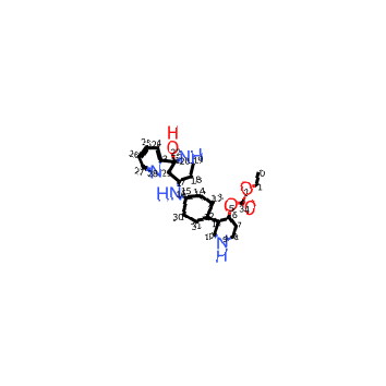 CCOC(=O)OC1CCNCC1C1CCC(NC2CCNC(O)(c3ccccn3)C2)CC1